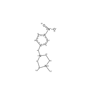 CC1CN(Cc2ccc([N+](=O)[O-])cc2)CCN1C